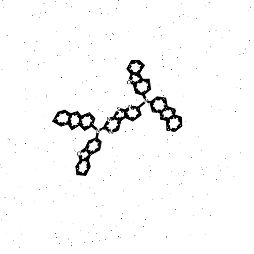 c1ccc2cc3cc(N(c4ccc5c(c4)oc4ccccc45)c4ccc5c(n4)sc4nc(N(c6ccc7cc8ccccc8cc7c6)c6ccc7c(c6)oc6ccccc67)ncc45)ccc3cc2c1